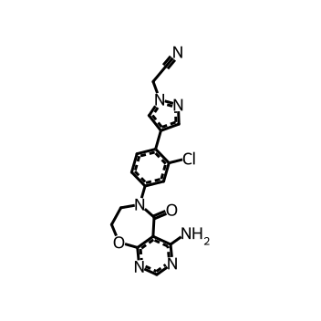 N#CCn1cc(-c2ccc(N3CCOc4ncnc(N)c4C3=O)cc2Cl)cn1